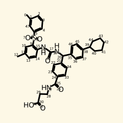 Cc1cccc(S(=O)(=O)c2cc(C)ccc2NC(=O)NC(c2ccc(C(=O)NCCC(=O)O)cc2)c2ccc(C3CCCCC3)cc2)c1